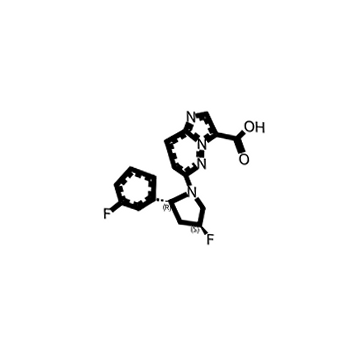 O=C(O)c1cnc2ccc(N3C[C@@H](F)C[C@@H]3c3cccc(F)c3)nn12